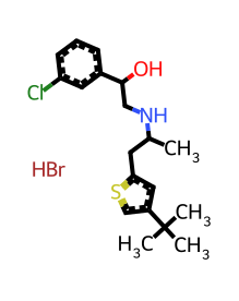 Br.CC(Cc1cc(C(C)(C)C)cs1)NCC(O)c1cccc(Cl)c1